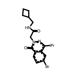 CC(C)c1nn(CC(=O)NCC2CCC2)c(=O)c2ccc(Br)cc12